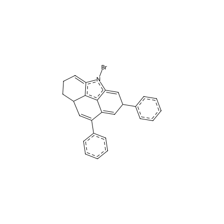 Brn1c2c3c4c1=CCCC4C=C(c1ccccc1)C3=CC(c1ccccc1)C=2